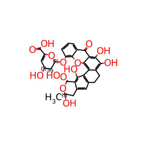 C[C@@]1(O)Cc2cc3c(c(O)c2C(=O)O1)-c1c(c(O)c(O)c2c(=O)c4cccc(O[C@@H]5OC(C(=O)O)=C[C@H](O)[C@H]5O)c4oc12)CC3